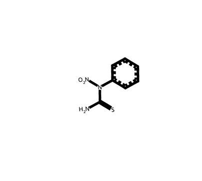 NC(=S)N(c1ccccc1)[N+](=O)[O-]